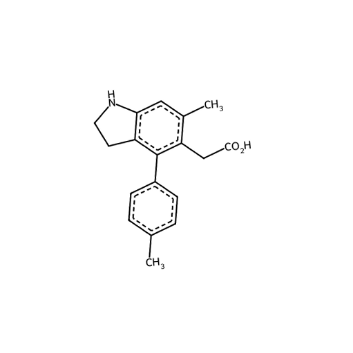 Cc1ccc(-c2c(CC(=O)O)c(C)cc3c2CCN3)cc1